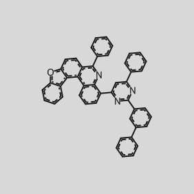 c1ccc(-c2cccc(-c3nc(-c4ccccc4)cc(-c4cccc5c4nc(-c4ccccc4)c4ccc6oc7ccccc7c6c45)n3)c2)cc1